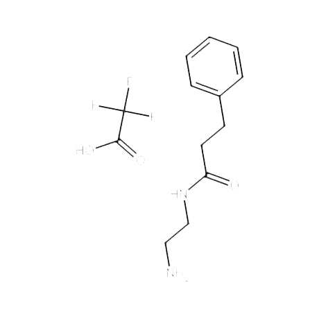 NCCNC(=O)CCc1ccccc1.O=C(O)C(F)(F)F